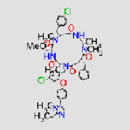 C=Cc1ncc(-c2ccc(Oc3cc(Cl)ccc3CN3C(=O)C[C@@H](Cc4ccccc4)C(=O)N(C)[C@@H](C)CNC(=O)C[C@H](Cc4ccc(Cl)cc4)N(C)C(=O)[C@H](COC)NC(=O)[C@@H]3C)cc2)n1C